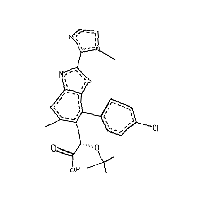 Cc1cc2nc(-c3nccn3C)sc2c(-c2ccc(Cl)cc2)c1[C@H](OC(C)(C)C)C(=O)O